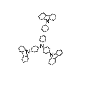 c1ccc2c(c1)c1ccccc1n2-c1ccc(-c2ccc(N(c3ccc(-n4c5ccccc5c5ccccc54)cc3)c3ccc(-n4c5ccccc5c5ccccc54)cc3)cc2)cc1